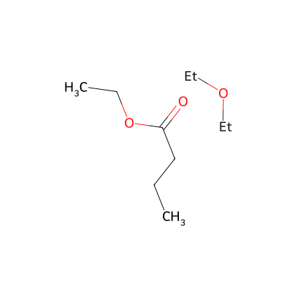 CCCC(=O)OCC.CCOCC